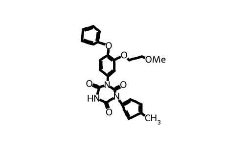 COCCOc1cc(-n2c(=O)[nH]c(=O)n(-c3ccc(C)cc3)c2=O)ccc1Oc1ccccc1